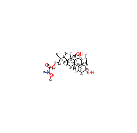 CC[C@H]1[C@@H](O)C2[C@@H]3CC[C@H]([C@H](C)CCOC(=O)N(C)OC)C3(C)CC[C@@H]2C2(C)CC[C@@H](O)C[C@@H]12